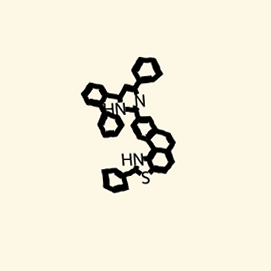 C1=C(c2ccccc2)N=C(c2ccc3c(ccc4ccc5c(c43)NC(c3ccccc3)S5)c2)NC1c1ccccc1-c1ccccc1